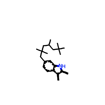 C=c1[nH]c2cc(CC(C)(C)CC(C)CC(C)(C)C)ccc2c1=C